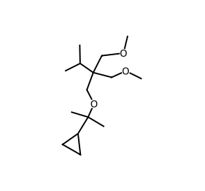 COCC(COC)(COC(C)(C)C1CC1)C(C)C